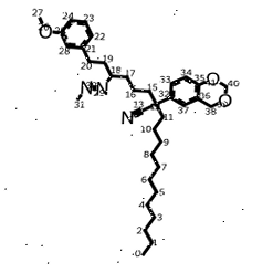 CCCCCCCCCCCCC(C#N)(CCCC(CCc1cccc(OC)c1)N=NC)c1ccc2c(c1)COCO2